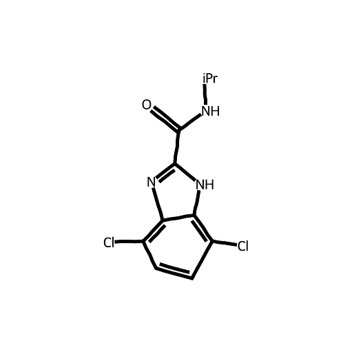 CC(C)NC(=O)c1nc2c(Cl)ccc(Cl)c2[nH]1